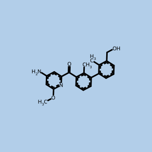 COc1cc(N)cc(C(=O)c2cccc(-c3cccc(CO)c3C)c2C)n1